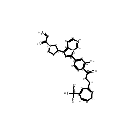 C=CC(=O)N1CCC(c2cc(-c3ccc(C(=O)CCC4=CCC=CC(C(F)(F)F)=C4)c(F)c3)n3cnccc23)C1